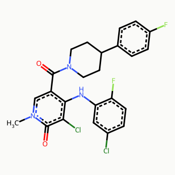 Cn1cc(C(=O)N2CCC(c3ccc(F)cc3)CC2)c(Nc2cc(Cl)ccc2F)c(Cl)c1=O